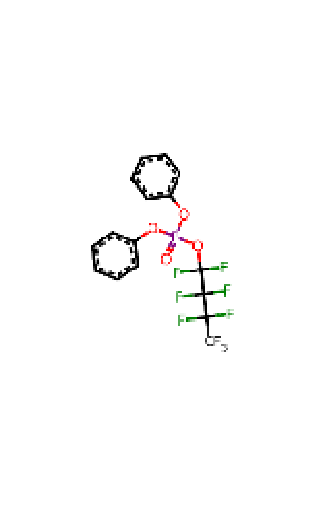 O=P(Oc1ccccc1)(Oc1ccccc1)OC(F)(F)C(F)(F)C(F)(F)C(F)(F)F